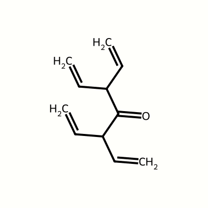 C=CC(C=C)C(=O)C(C=C)C=C